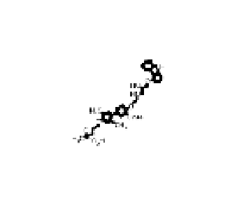 COc1cc(-c2cc(C)c(OCCCC(C)(C)C(=O)O)cc2C)ccc1OCCNCC(O)COc1cccc2[nH]c3ccccc3c12